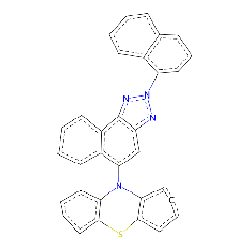 c1ccc2c(c1)Sc1ccccc1N2c1cc2nn(-c3cccc4ccccc34)nc2c2ccccc12